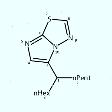 CCCCCCC(CCCCC)c1cnc2scnn12